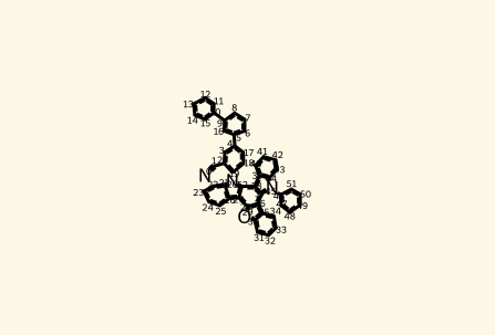 N#Cc1cc(-c2cccc(-c3ccccc3)c2)ccc1-n1c2ccccc2c2c3oc4ccccc4c3c3c(c4ccccc4n3-c3ccccc3)c21